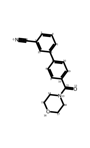 N#Cc1[c]ccc(-c2ccc(C(=O)N3CCOCC3)cc2)c1